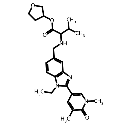 CCn1c(-c2cc(C)c(=O)n(C)c2)nc2cc(CNC(C(=O)OC3CCOC3)C(C)C)ccc21